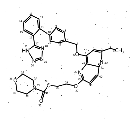 CCc1cc(OCc2ccc(-c3ccccc3-c3nnn[nH]3)cc2)c2nc(OCCOC(=O)N3CCOCC3)ccc2n1